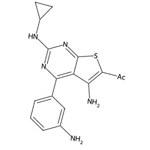 CC(=O)c1sc2nc(NC3CC3)nc(-c3cccc(N)c3)c2c1N